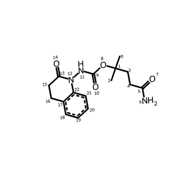 CC(C)(CCC(N)=O)OC(=O)NN1C(=O)CCc2ccccc21